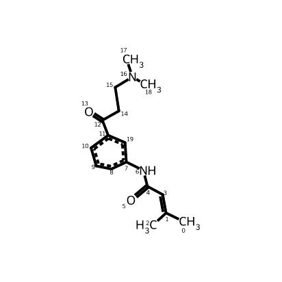 CC(C)=CC(=O)Nc1cccc(C(=O)CCN(C)C)c1